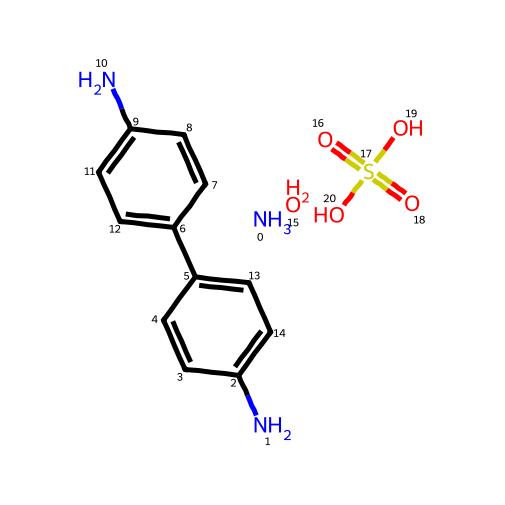 N.Nc1ccc(-c2ccc(N)cc2)cc1.O.O=S(=O)(O)O